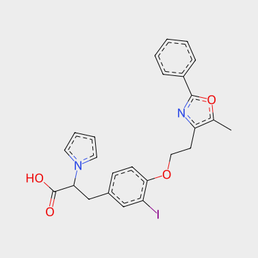 Cc1oc(-c2ccccc2)nc1CCOc1ccc(CC(C(=O)O)n2cccc2)cc1I